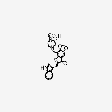 O=C1C(=Cc2n[nH]c3ccccc23)Oc2c1cc1c(c2CN2CCN(C(=O)O)CC2)OCO1